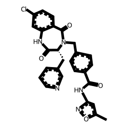 Cc1cc(NC(=O)c2ccc(CN3C(=O)c4ccc(Cl)cc4NC(=O)[C@H]3Cc3cccnc3)cc2)no1